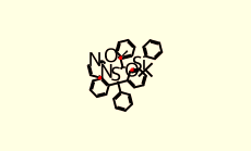 C[C@H](Oc1ncccn1)[C@@H](O[Si](c1ccccc1)(c1ccccc1)C(C)(C)C)SC(c1ccccc1)(c1ccccc1)c1ccccc1